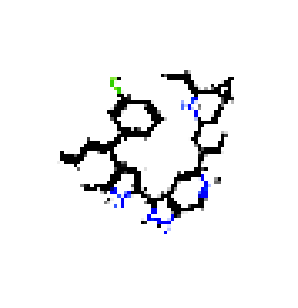 C=C/C=C(/c1cccc(F)c1)c1cc(-c2n[nH]c3cnc(C(/C=C(\C=C)N/C(=C\C)C4CC4)=C/C)cc23)[nH]c1C